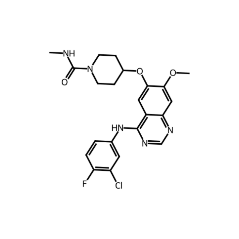 CNC(=O)N1CCC(Oc2cc3c(Nc4ccc(F)c(Cl)c4)ncnc3cc2OC)CC1